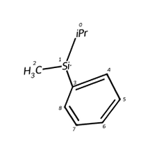 CC(C)[Si](C)c1ccccc1